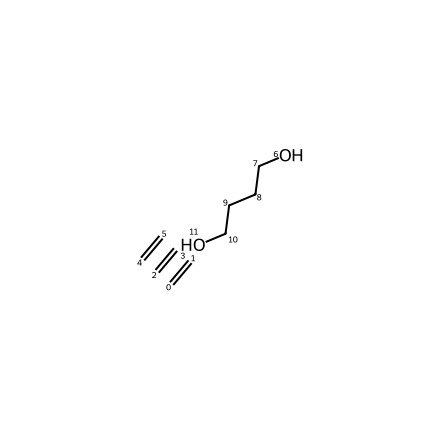 C=C.C=C.C=C.OCCCCO